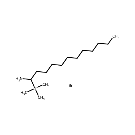 CCCCCCCCCCCC(N)[N+](C)(C)C.[Br-]